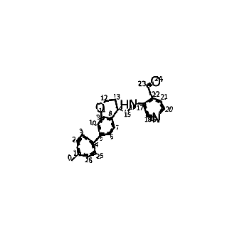 Cc1ccc(-c2ccc3c(c2)OCC[C@@H]3CNc2cnccc2C=O)cc1